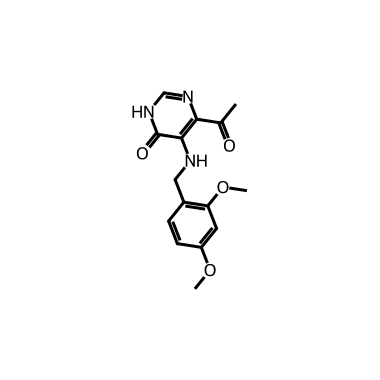 COc1ccc(CNc2c(C(C)=O)nc[nH]c2=O)c(OC)c1